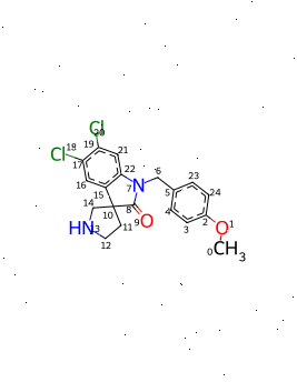 COc1ccc(CN2C(=O)C3(CCNC3)c3cc(Cl)c(Cl)cc32)cc1